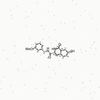 COc1cccc(CNC(=O)c2nc3ccc(S)cc3c(=O)[nH]2)c1